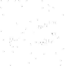 COc1ccc(-c2nn(C(C)(C)C)c(Br)c2C=O)c(OC)c1